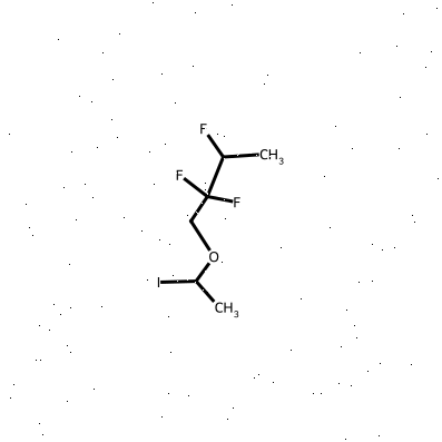 CC(I)OCC(F)(F)C(C)F